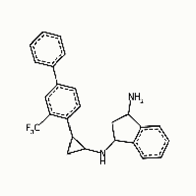 NC1CC(NC2CC2c2ccc(-c3ccccc3)cc2C(F)(F)F)c2ccccc21